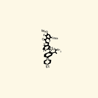 C=C(C(N)=O)c1cc(N2CCN(CC)CC2)ccc1Nc1cc2cc(C(=O)c3c(F)c(OC)cc(OC)c3F)sc2cn1